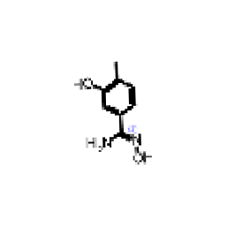 Cc1ccc(/C(N)=N/O)cc1O